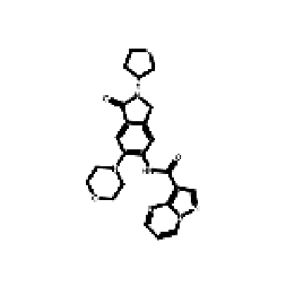 O=C(Nc1cc2c(cc1N1CCOCC1)C(=O)N([C@@H]1CCOC1)C2)c1cnn2cccnc12